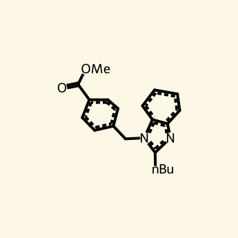 CCCCc1nc2ccccc2n1Cc1ccc(C(=O)OC)cc1